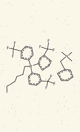 CCCCCC[B-](c1cccc(C(F)(F)F)c1)(c1cccc(C(F)(F)F)c1)c1cccc(C(F)(F)F)c1.C[N+](C)(C)Cc1ccccc1